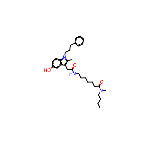 CCCCN(C)C(=O)CCCCCCNC(=O)Cc1c(C)n(CCCc2ccccc2)c2ccc(O)cc12